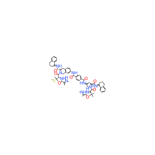 CN[C@@H](C)C(=O)NC(C(=O)N1Cc2cc(NC(=O)c3ccc(C(=O)N[C@H]4C[C@@H](C(=O)N[C@@H]5CCCc6ccccc65)N(C(=O)[C@@H](NC(=O)[C@H](C)NC)C(C)(C)C)C4)cc3)ccc2C[C@H]1C(=O)N[C@@H]1CCCc2ccccc21)C(C)(C)SC